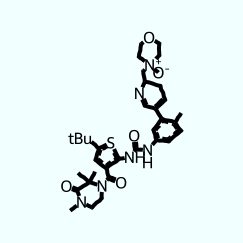 Cc1ccc(NC(=O)Nc2sc(C(C)(C)C)cc2C(=O)N2CCN(C)C(=O)C2(C)C)cc1C1=CCC(C[N+]2([O-])CCOCC2)N=C1